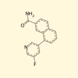 NC(=O)c1ccc2cccc(-c3cncc(F)c3)c2c1